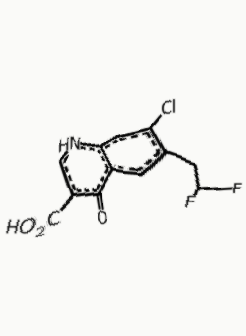 O=C(O)c1c[nH]c2cc(Cl)c(CC(F)F)cc2c1=O